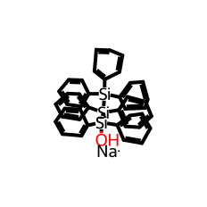 O[Si](c1ccccc1)(c1ccccc1)[Si](c1ccccc1)(c1ccccc1)[Si](c1ccccc1)(c1ccccc1)c1ccccc1.[Na]